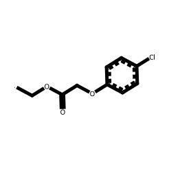 [CH2]COC(=O)COc1ccc(Cl)cc1